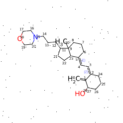 C=C1/C(=C\C=C2/CCCC3(C)C(CCCN4CCOCC4)CCC23)CCCC1O